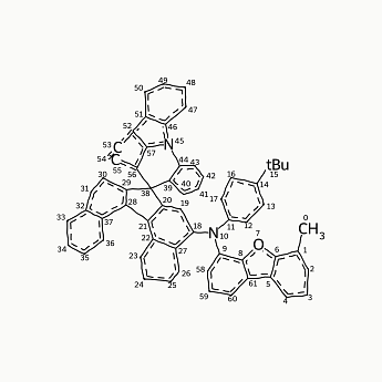 Cc1cccc2c1oc1c(N(c3ccc(C(C)(C)C)cc3)c3cc4c(c5ccccc35)-c3c(ccc5ccccc35)C43c4ccccc4-n4c5ccccc5c5cccc3c54)cccc12